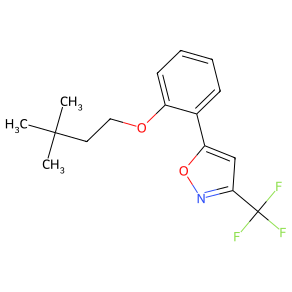 CC(C)(C)CCOc1ccccc1-c1cc(C(F)(F)F)no1